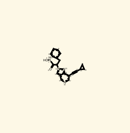 O=C(NO)C(Cc1ccccc1)n1cc2cncc(C#CC3CC3)c2n1